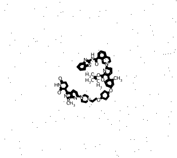 Cc1cc(OC2CCC(OCCN3CCN(c4ccc5c(C6CCC(=O)NC6=O)nn(C)c5n4)CC3)CC2)ccc1-c1ccc(N2CCc3cccc(C(=O)Nc4nc5ccccc5s4)c3C2)nc1C(=O)OC(C)(C)C